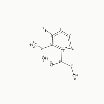 [CH2]C(O)c1c(F)cccc1C(Cl)CO